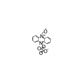 COC[n+]1c2ccccc2nc2ccccc21.COS(=O)(=O)[O-]